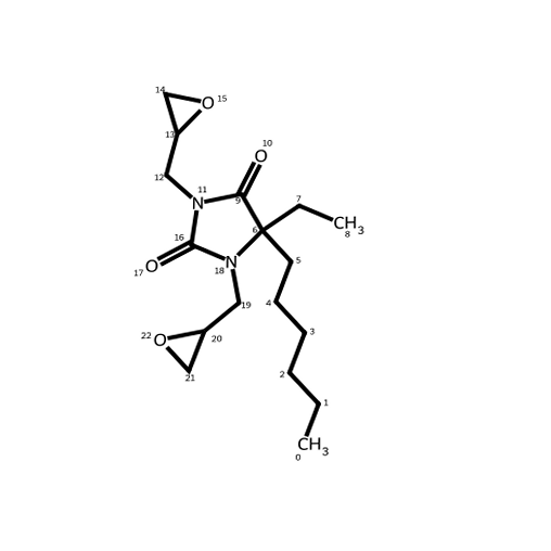 CCCCCCC1(CC)C(=O)N(CC2CO2)C(=O)N1CC1CO1